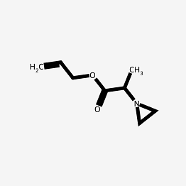 C=CCOC(=O)C(C)N1CC1